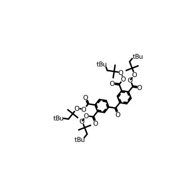 CC(C)(C)CC(C)(C)OOC(=O)c1ccc(C(=O)c2ccc(C(=O)OOC(C)(C)CC(C)(C)C)c(C(=O)OOC(C)(C)CC(C)(C)C)c2)cc1C(=O)OOC(C)(C)CC(C)(C)C